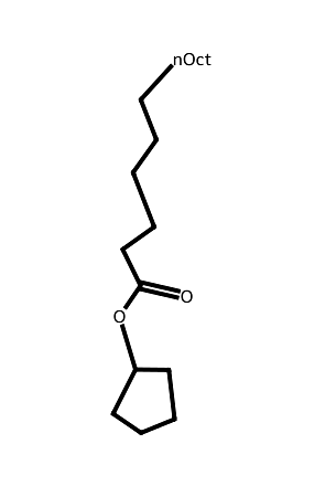 CCCCCCCCCCCCCC(=O)OC1CCCC1